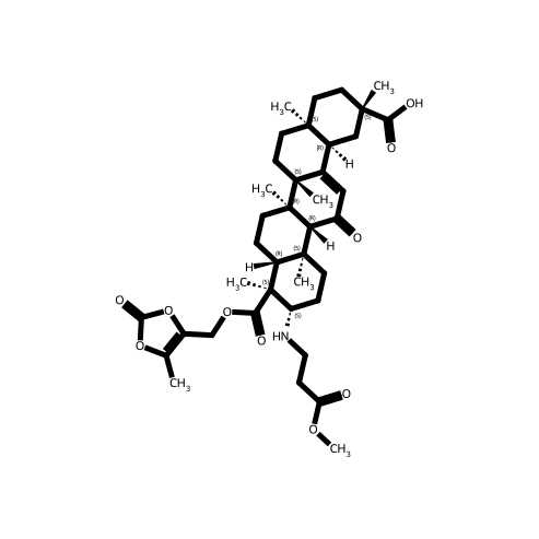 COC(=O)CCN[C@H]1CC[C@@]2(C)[C@@H](CC[C@]3(C)[C@@H]2C(=O)C=C2[C@@H]4C[C@@](C)(C(=O)O)CC[C@]4(C)CC[C@]23C)[C@]1(C)C(=O)OCc1oc(=O)oc1C